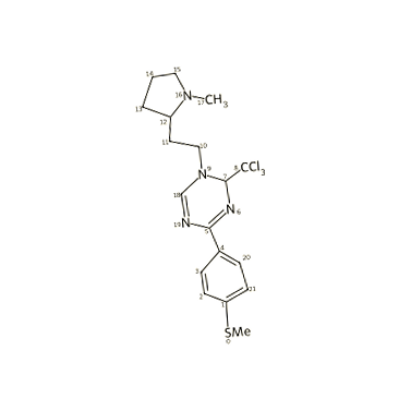 CSc1ccc(C2=NC(C(Cl)(Cl)Cl)N(CCC3CCCN3C)C=N2)cc1